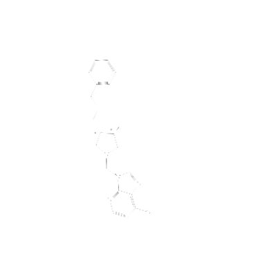 Nc1ncnc2c1ncn2CN1C[C@H](COCc2ccccc2)[C@@H](O)C1